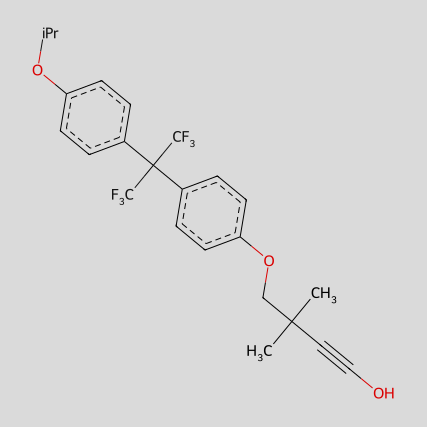 CC(C)Oc1ccc(C(c2ccc(OCC(C)(C)C#CO)cc2)(C(F)(F)F)C(F)(F)F)cc1